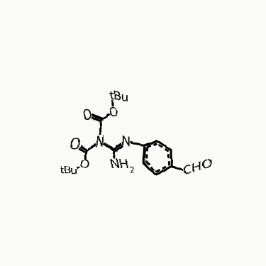 CC(C)(C)OC(=O)N(C(=O)OC(C)(C)C)C(N)=Nc1ccc(C=O)cc1